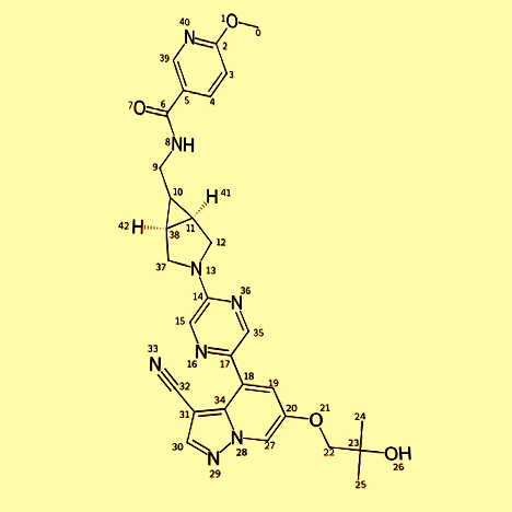 COc1ccc(C(=O)NCC2[C@H]3CN(c4cnc(-c5cc(OCC(C)(C)O)cn6ncc(C#N)c56)cn4)C[C@@H]23)cn1